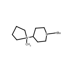 CC(C)(C)N1CCC([N+]2(C)CCCC2)CC1